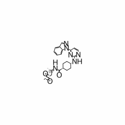 C[C@@H](CS(C)(=O)=O)NC(=O)[C@H]1CC[C@H](Nc2nccc(-n3ncc4ccccc43)n2)CC1